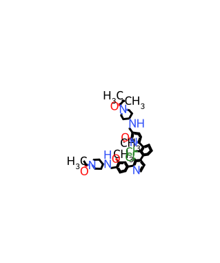 COc1cc(-c2nccc(-c3cccc(-c4ccc(CNC5CCN(C(=O)C(C)C)CC5)c(OC)n4)c3Cl)c2Cl)ccc1CNC1CCN(C(C)=O)CC1